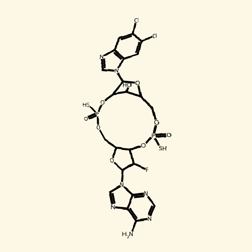 Nc1ncnc2c1ncn2C1OC2COP(=O)(S)OC3C(O)C(COP(=O)(S)OC2C1F)OC3n1cnc2cc(Cl)c(Cl)cc21